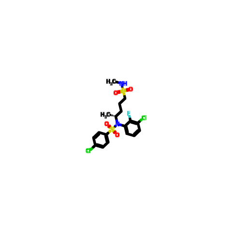 CNS(=O)(=O)CCC[C@@H](C)N(c1cccc(Cl)c1F)S(=O)(=O)c1ccc(Cl)cc1